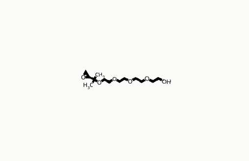 CC(C)(OCCOCCOCCOCCO)C1CO1